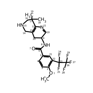 COc1ccc(C(=O)NC2C=NC3=C(CNCC3(C)C)C2)cc1C(F)(F)C(F)(F)F